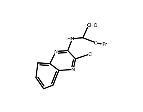 CC(C)CC(C=O)Nc1nc2ccccc2nc1Cl